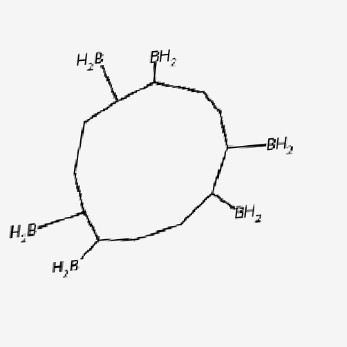 BC1CCC(B)C(B)CCC(B)C(B)CCC1B